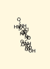 CCOC(=O)C(CCc1nc(CNS(=O)(=O)c2cc3c(cc2Cl)NC(CCc2ccccc2)NS3)co1)N[C@@H](C)C(=O)N1CCC[C@H]1C(=O)O